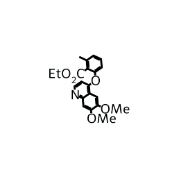 CCOC(=O)c1c(C)cccc1Oc1ccnc2cc(OC)c(OC)cc12